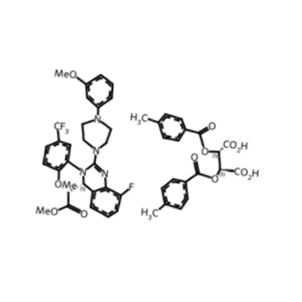 COC(=O)C[C@H]1c2cccc(F)c2N=C(N2CCN(c3cccc(OC)c3)CC2)N1c1cc(C(F)(F)F)ccc1OC.Cc1ccc(C(=O)O[C@H](C(=O)O)[C@H](OC(=O)c2ccc(C)cc2)C(=O)O)cc1